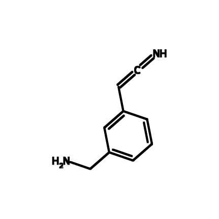 N=C=Cc1cccc(CN)c1